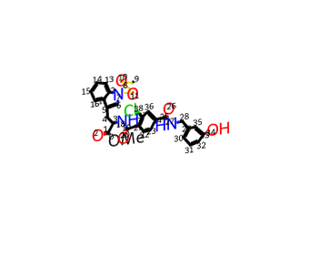 COC(=O)C(Cc1cn(S(C)(=O)=O)c2ccccc12)NC(=O)c1ccc(C(=O)NCc2cccc(O)c2)cc1Cl